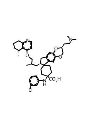 C[C@@H](COc1ccnc2c1[C@H](C)CCC2)C[C@H]1Cc2cc3c(cc2C12CCC(Nc1cccc(Cl)c1)(C(=O)O)CC2)OC[C@H](CCN(C)C)O3